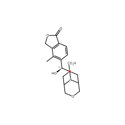 Cc1c([C@H](O)CN2C3COCC2CN(C(=O)O)C3)ccc2c1COC2=O